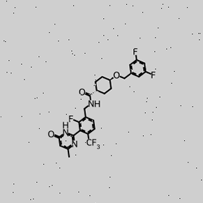 Cc1cc(=O)[nH]c(-c2c(C(F)(F)F)ccc(CNC(=O)[C@H]3CC[C@H](OCc4cc(F)cc(F)c4)CC3)c2F)n1